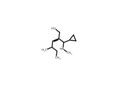 CCC(C)/C=C(/CO)C(NC)C1CC1